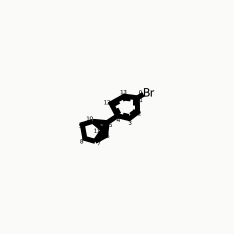 Brc1ccc(C2=CC3CCC2C3)cc1